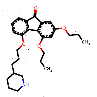 CCCOc1cc(OCCC)c2c(c1)C(=O)c1cccc(OCCCC3CCCNC3)c1-2